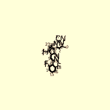 Cc1cc([C@]23CC[C@@H](c4cc(-c5c(F)cccc5F)nnc42)C3(C)C)nc(C#N)n1